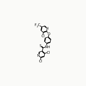 FC(F)(F)c1cnc(Oc2ccc(NC(=S)c3cnc(Cl)cc3Cl)cc2)c(Cl)c1